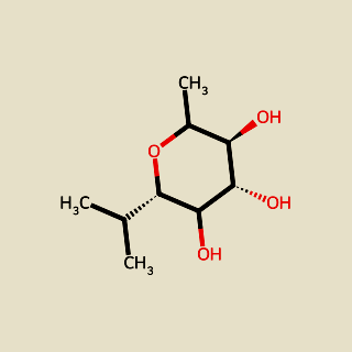 CC(C)[C@@H]1OC(C)[C@@H](O)[C@H](O)C1O